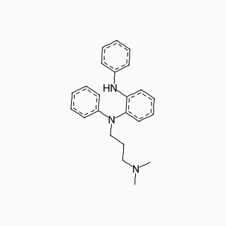 CN(C)CCCN(c1ccccc1)c1ccccc1Nc1ccccc1